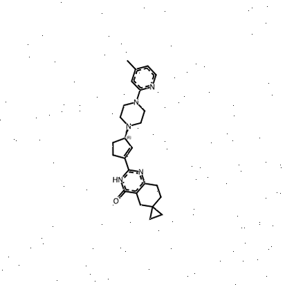 Cc1ccnc(N2CCN([C@H]3C=C(c4nc5c(c(=O)[nH]4)CC4(CC5)CC4)CC3)CC2)c1